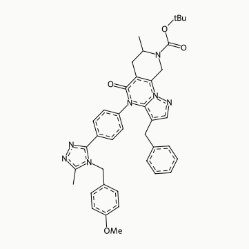 COc1ccc(Cn2c(C)nnc2-c2ccc(-n3c(=O)c4c(n5ncc(Cc6ccccc6)c35)CN(C(=O)OC(C)(C)C)C(C)C4)cc2)cc1